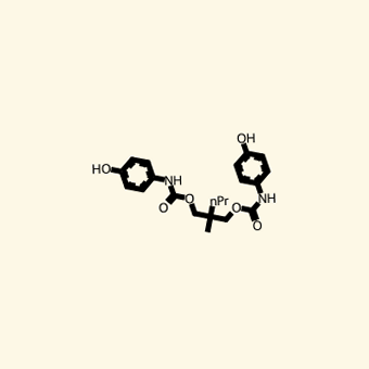 CCCC(C)(COC(=O)Nc1ccc(O)cc1)COC(=O)Nc1ccc(O)cc1